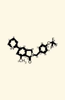 Cc1cc(-c2ccccn2)cc2c1C(=O)N(Cc1ccc(OC(F)(F)F)cc1)C2